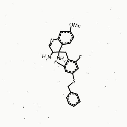 COc1ccc2c(c1)N=CC(N)C2(N)Cc1c(F)cc(SCc2ccccc2)cc1F